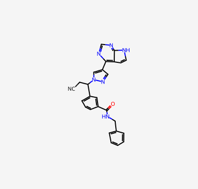 N#CCC(c1cccc(C(=O)NCc2ccccc2)c1)n1cc(-c2ncnc3[nH]ccc23)cn1